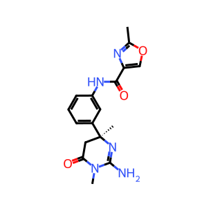 Cc1nc(C(=O)Nc2cccc([C@]3(C)CC(=O)N(C)C(N)=N3)c2)co1